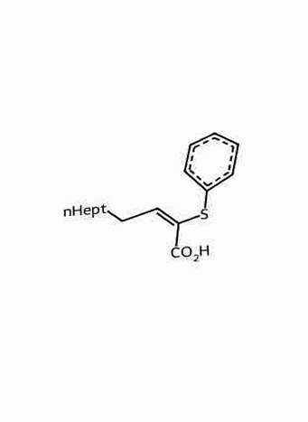 CCCCCCCCC=C(Sc1ccccc1)C(=O)O